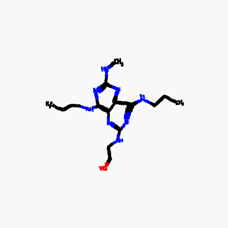 CCCNc1nc(NCCO)nc2c(NCCC)nc(NC)nc12